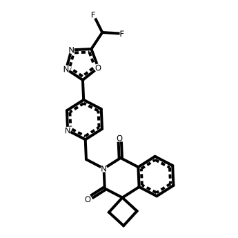 O=C1c2ccccc2C2(CCC2)C(=O)N1Cc1ccc(-c2nnc(C(F)F)o2)cn1